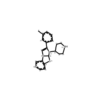 Cc1cccc(C2=CN3c4cnccc4SC3N2C2CCNCC2)c1